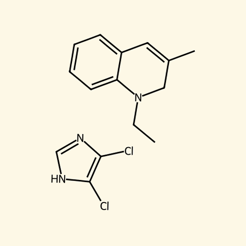 CCN1CC(C)=Cc2ccccc21.Clc1nc[nH]c1Cl